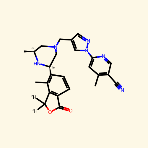 [2H]C1([2H])OC(=O)c2ccc([C@@H]3CN(Cc4cnn(-c5cc(C)c(C#N)cn5)c4)C[C@H](C)N3)c(C)c21